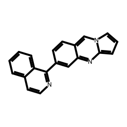 c1ccc2c(-c3ccc4cn5cccc5nc4c3)nccc2c1